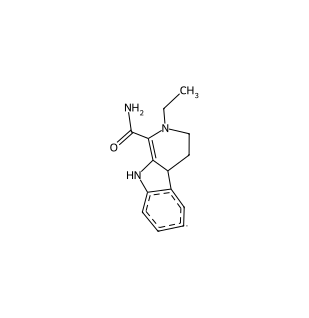 CCN1CCC2C(=C1C(N)=O)Nc1cc[c]cc12